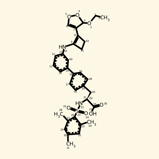 CCOC1OOC=C1C1=C(Nc2cccc(-c3ccc(C[C@H](NS(=O)(=O)c4c(C)cc(C)cc4C)C(=O)O)cc3)c2)CC1